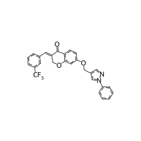 O=C1C(=Cc2cccc(C(F)(F)F)c2)COc2cc(OCc3cnn(-c4ccccc4)c3)ccc21